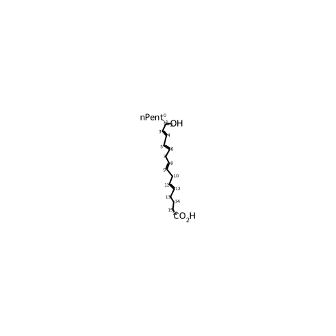 CCCCC[C@H](O)C=CC=CCC=CCC=CCCCC(=O)O